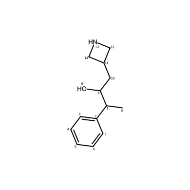 CC(c1ccccc1)C(O)CC1CNC1